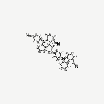 N#Cc1ccc2c(c1)c1ccccc1n2-c1cccc(C#N)c1C1=CCCC(c2ccc(-n3c4ccccc4c4c(C#N)cccc43)cc2)=C1